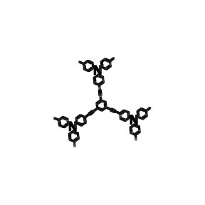 Cc1ccc(N(c2ccc(C)cc2)c2ccc(C#Cc3cc(C#Cc4ccc(N(c5ccc(C)cc5)c5ccc(C)cc5)cc4)cc(C#Cc4ccc(N(c5ccc(C)cc5)c5ccc(C)cc5)cc4)c3)cc2)cc1